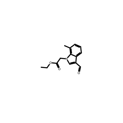 CCOC(=O)Cn1cc(C=O)c2cccc(C)c21